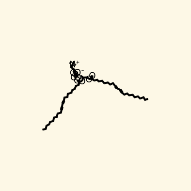 CCCCCCCCCCC#CC#CCCCCCCCCC(=O)OCC(COP(=O)([O-])OCC[N+](C)(C)C)OC(=O)CCCCCCCCC#CC#CCCCCCCCCCC